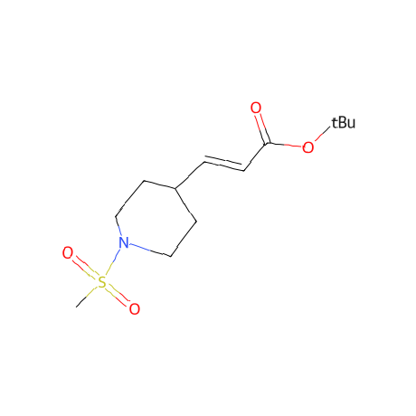 CC(C)(C)OC(=O)/C=C/C1CCN(S(C)(=O)=O)CC1